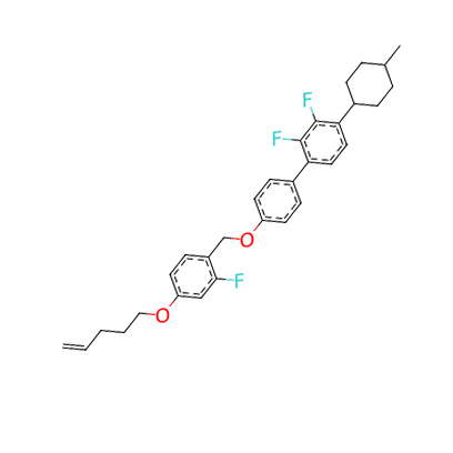 C=CCCCOc1ccc(COc2ccc(-c3ccc(C4CCC(C)CC4)c(F)c3F)cc2)c(F)c1